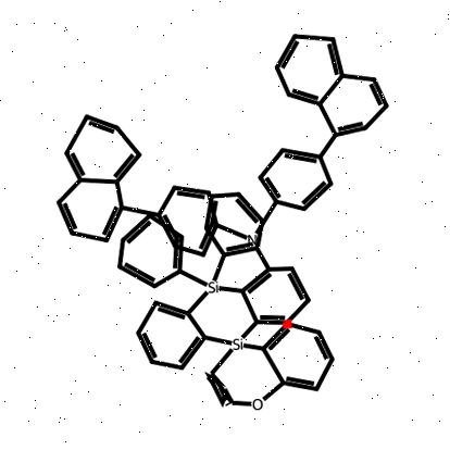 c1ccc([Si]2(c3ccccc3)c3ccccc3[Si]3(c4ccccc4Oc4ccccc43)c3cccc(N(c4ccc(-c5cccc6ccccc56)cc4)c4ccc(-c5cccc6ccccc56)cc4)c32)cc1